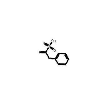 C=C(Cc1ccccc1)S(=O)(=O)O